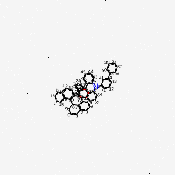 C1=Cc2cccc3c2C(C1)c1c(ccc2ccccc12)C31c2ccccc2-c2c(N(c3cccc(-c4ccccc4)c3)c3ccccc3-c3ccccc3)cccc21